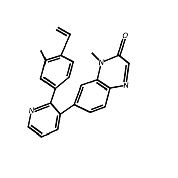 C=Cc1ccc(-c2ncccc2-c2ccc3ncc(=O)n(C)c3c2)cc1C